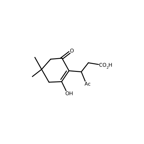 CC(=O)C(CC(=O)O)C1=C(O)CC(C)(C)CC1=O